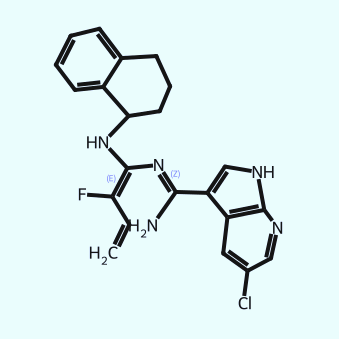 C=C/C(F)=C(\N=C(/N)c1c[nH]c2ncc(Cl)cc12)NC1CCCc2ccccc21